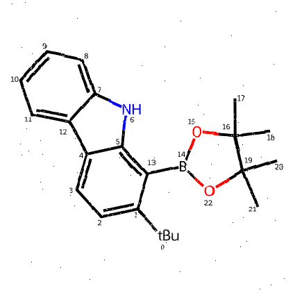 CC(C)(C)c1ccc2c([nH]c3ccccc32)c1B1OC(C)(C)C(C)(C)O1